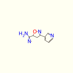 [N]=C(N)C1CC(c2cccnc2)=NO1